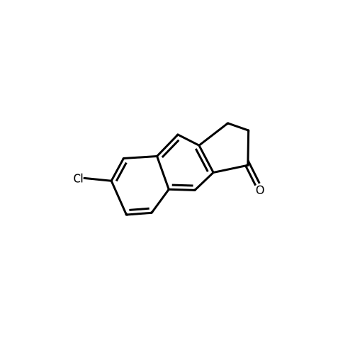 O=C1CCc2cc3cc(Cl)ccc3cc21